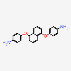 Nc1ccc(Oc2cccc3c(Oc4ccc(N)cc4)cccc23)cc1